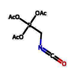 CC(=O)O[Si](CN=C=O)(OC(C)=O)OC(C)=O